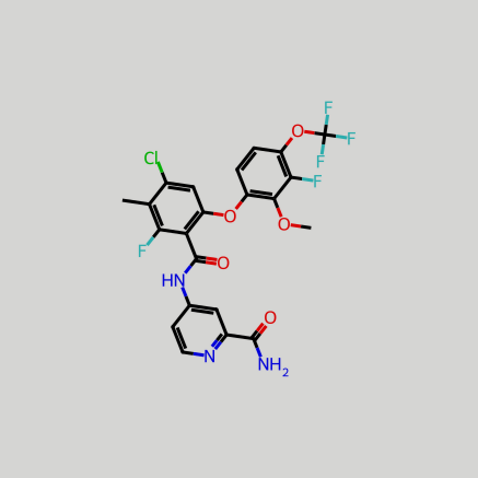 COc1c(Oc2cc(Cl)c(C)c(F)c2C(=O)Nc2ccnc(C(N)=O)c2)ccc(OC(F)(F)F)c1F